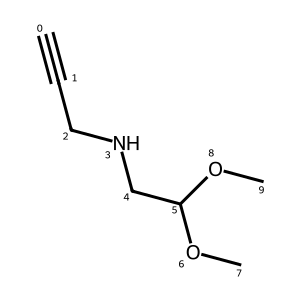 C#CCNCC(OC)OC